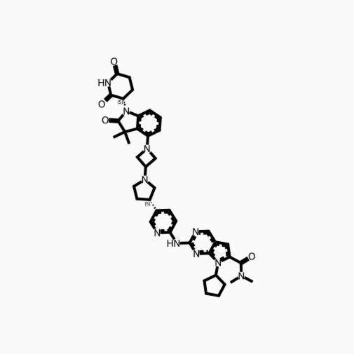 CN(C)C(=O)c1cc2cnc(Nc3ccc([C@@H]4CCN(C5CN(c6cccc7c6C(C)(C)C(=O)N7[C@H]6CCC(=O)NC6=O)C5)C4)cn3)nc2n1C1CCCC1